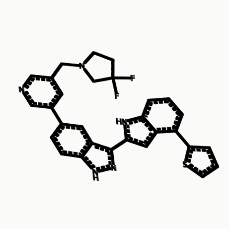 FC1(F)CCN(Cc2cncc(-c3ccc4[nH]nc(-c5cc6c(-c7cccs7)cccc6[nH]5)c4c3)c2)C1